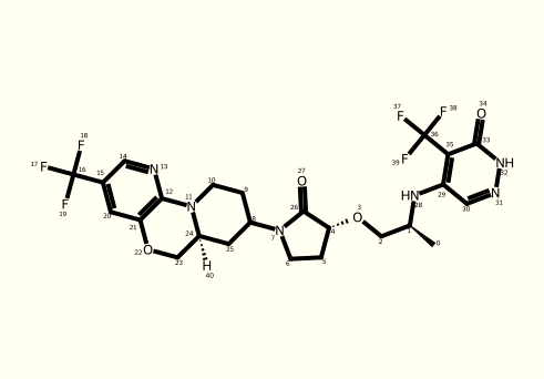 C[C@@H](CO[C@@H]1CCN(C2CCN3c4ncc(C(F)(F)F)cc4OC[C@@H]3C2)C1=O)Nc1cn[nH]c(=O)c1C(F)(F)F